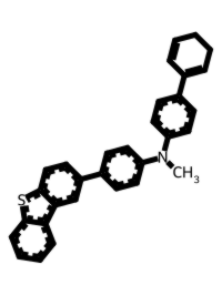 CN(c1ccc(C2=CCCC=C2)cc1)c1ccc(-c2ccc3sc4ccccc4c3c2)cc1